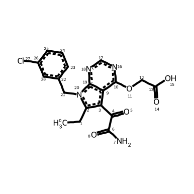 CCc1c(C(=O)C(N)=O)c2c(OCC(=O)O)ncnc2n1Cc1cccc(Cl)c1